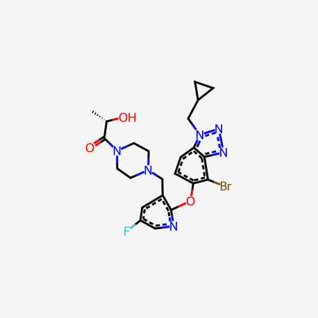 C[C@H](O)C(=O)N1CCN(Cc2cc(F)cnc2Oc2ccc3c(nnn3CC3CC3)c2Br)CC1